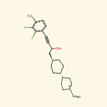 CCCCCCC[SiH]1CCC([C@H]2CC[C@H](CC(O)C#Cc3ccc(C(F)(F)F)c(F)c3F)CC2)CC1